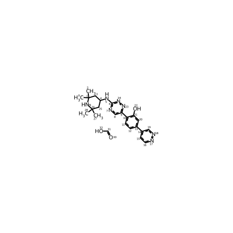 CC1(C)CC(Nc2ncc(-c3ccc(-c4ccnnc4)cc3O)nn2)CC(C)(C)N1.O=CO